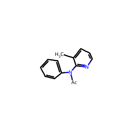 CC(=O)N(c1ccccc1)c1ncccc1C